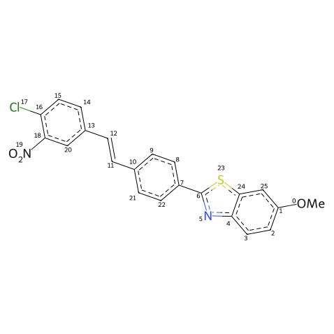 COc1ccc2nc(-c3ccc(C=Cc4ccc(Cl)c([N+](=O)[O-])c4)cc3)sc2c1